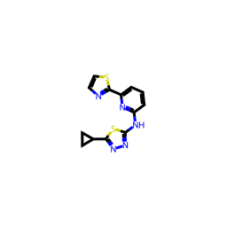 c1cc(Nc2nnc(C3CC3)s2)nc(-c2nccs2)c1